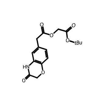 CC(C)(C)OC(=O)COC(=O)Cc1ccc2c(c1)NC(=O)CO2